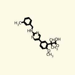 COc1ccc(-c2cnc(NCc3cccc(C)c3)nc2)cc1C(C)(C)C(=O)O